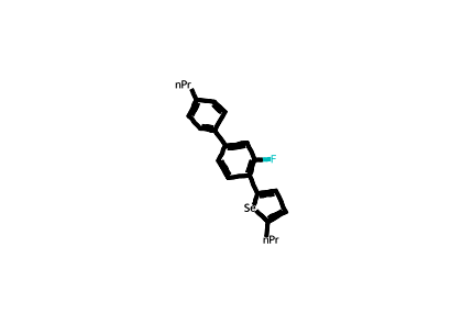 CCCc1ccc(-c2ccc(-c3ccc(CCC)[se]3)c(F)c2)cc1